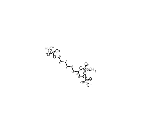 CS(=O)(=O)OCCCCCCC(COS(C)(=O)=O)OS(C)(=O)=O